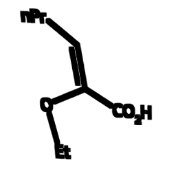 CCCC=C(OCC)C(=O)O